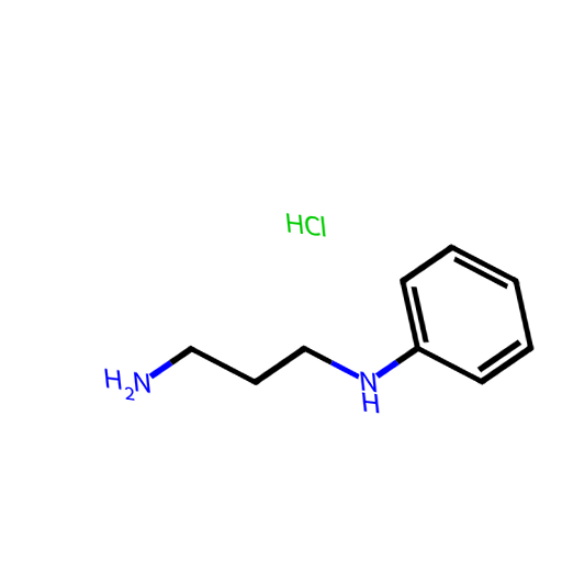 Cl.NCCCNc1ccccc1